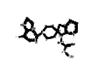 CC(C)(C)OC(=O)N[C@@H]1c2ncccc2CC12CCN(c1ncc(I)c3nccn13)CC2